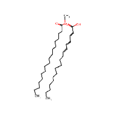 CCCCCCCCCCCC=CC=CC=CC(=O)O.CCCCCCCCCCCCCCCCCC(=O)OC